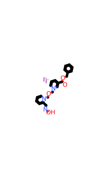 O=C(OCc1ccccc1)c1ccc[n+](COC[n+]2ccccc2C=NO)c1.[I-].[I-]